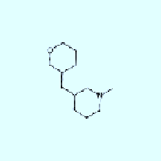 CN1CCCC(CC2CCCOC2)C1